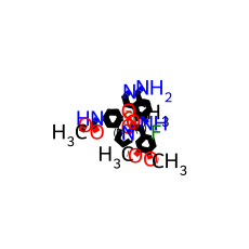 CCS(=O)(=O)c1ccc(NC(=O)OC)cc1[C@H]1CCCN1C(=O)[C@H](Nc1ccc2c(N)nccc2c1)c1cc(OC)c(OC)cc1F